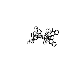 COc1ccc2c3c1O[C@H]1C[C@@H](O)C=C[C@@]31CCN(C)C2.O=C(O)c1cc2ccccc2c(Cc2c(O)c(C(=O)O)cc3ccccc23)c1O